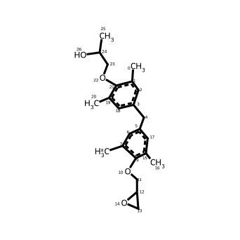 Cc1cc(Cc2cc(C)c(OCC3CO3)c(C)c2)cc(C)c1OCC(C)O